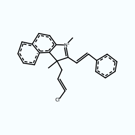 C[N+]1=C(/C=C/c2ccccc2)C(C)(C/C=C/Cl)c2c1ccc1ccccc21